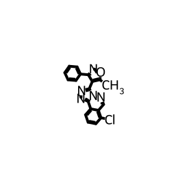 Cc1onc(-c2ccccc2)c1-c1nnc2c3cccc(Cl)c3cnn12